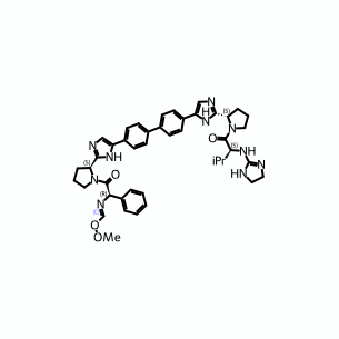 COO/C=N/[C@@H](C(=O)N1CCC[C@H]1c1ncc(-c2ccc(-c3ccc(-c4cnc([C@@H]5CCCN5C(=O)[C@@H](NC5=NCCN5)C(C)C)[nH]4)cc3)cc2)[nH]1)c1ccccc1